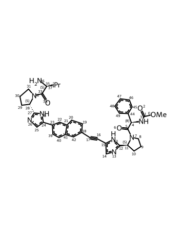 COC(=O)N[C@@H](C(=O)N1CCC[C@H]1c1ncc(C#Cc2ccc3cc(-c4cnc([C@@H]5CCCN5C(=O)[C@@H](N)C(C)C)[nH]4)ccc3c2)[nH]1)c1ccccc1